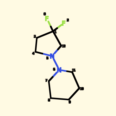 FC1(F)CCN(N2CCCCC2)C1